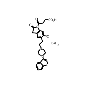 O=C(O)CCC(=O)N1C(=O)Cc2cc(CCN3CCN(c4nsc5ccccc45)CC3)c(Cl)cc21.[BaH2]